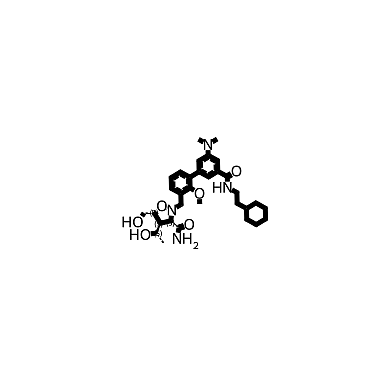 COc1c(CN2O[C@@H](CO)[C@H]([C@H](C)O)[C@H]2C(N)=O)cccc1-c1cc(C(=O)NCCC2CCCCC2)cc(N(C)C)c1